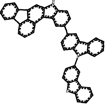 c1ccc2c(c1)-c1cccc3c1c-2cc1[nH]c2ccc(-c4ccc5c(c4)c4ccccc4n5-c4ccc5oc6ccccc6c5c4)cc2c13